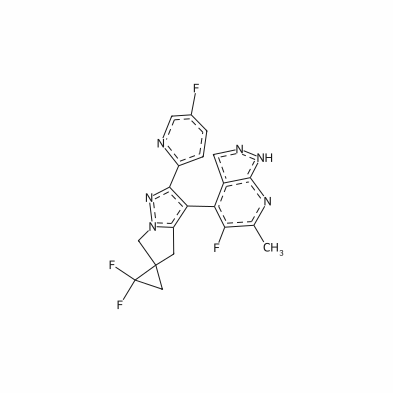 Cc1nc2[nH]ncc2c(-c2c(-c3ccc(F)cn3)nn3c2CC2(C3)CC2(F)F)c1F